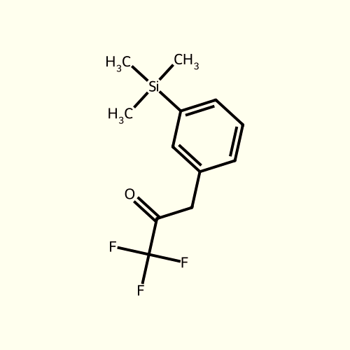 C[Si](C)(C)c1cccc(CC(=O)C(F)(F)F)c1